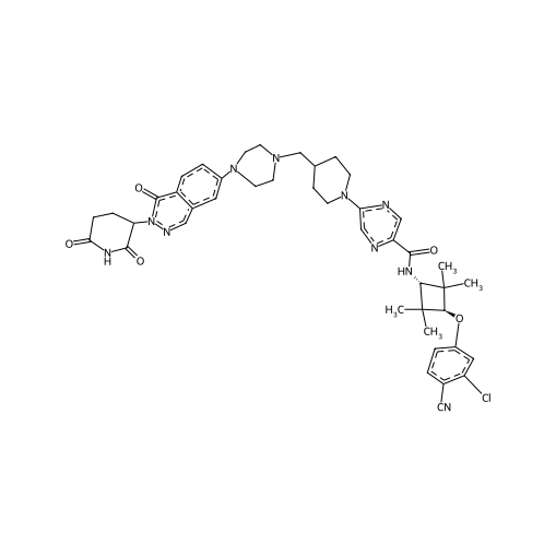 CC1(C)[C@H](NC(=O)c2cnc(N3CCC(CN4CCN(c5ccc6c(=O)n(C7CCC(=O)NC7=O)ncc6c5)CC4)CC3)cn2)C(C)(C)[C@H]1Oc1ccc(C#N)c(Cl)c1